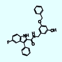 O=C(NCc1cc(O)cc(OCc2ccccc2)c1)c1[nH]c2ccc(F)cc2c1-c1ccccc1